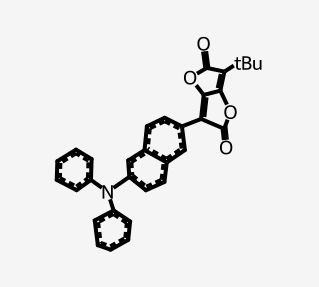 CC(C)(C)C1=C2OC(=O)C(c3ccc4cc(N(c5ccccc5)c5ccccc5)ccc4c3)=C2OC1=O